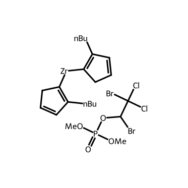 CCCCC1=[C]([Zr][C]2=C(CCCC)C=CC2)CC=C1.COP(=O)(OC)OC(Br)C(Cl)(Cl)Br